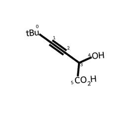 CC(C)(C)C#CC(O)C(=O)O